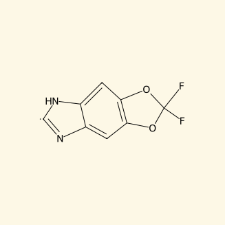 FC1(F)Oc2cc3n[c][nH]c3cc2O1